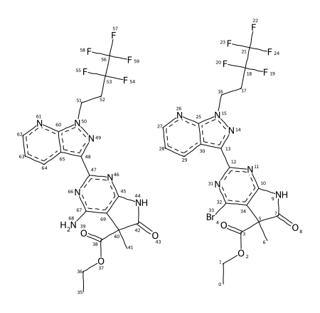 CCOC(=O)C1(C)C(=O)Nc2nc(-c3nn(CCC(F)(F)C(F)(F)F)c4ncccc34)nc(Br)c21.CCOC(=O)C1(C)C(=O)Nc2nc(-c3nn(CCC(F)(F)C(F)(F)F)c4ncccc34)nc(N)c21